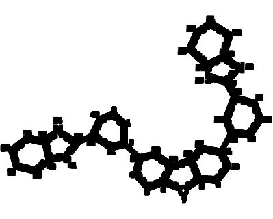 c1cc(-c2ccc3oc4ccc(-c5cccc(-c6nc7ccccc7s6)c5)cc4c3c2)cc(-c2nc3ccccc3s2)c1